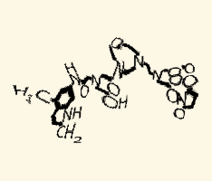 C=C1C=Cc2c(C)cc(NC(=O)CN(CCN3CCOCCN(CCN(COC=O)CC(=O)ON4C(=O)CCC4=O)CC3)CC(=O)O)cc2N1